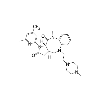 Cc1cc(C(F)(F)F)cc(N2C(=O)C[C@@H]3CN(CCN4CCN(C)CC4)c4ccccc4N(C)C(=O)[C@H]32)n1